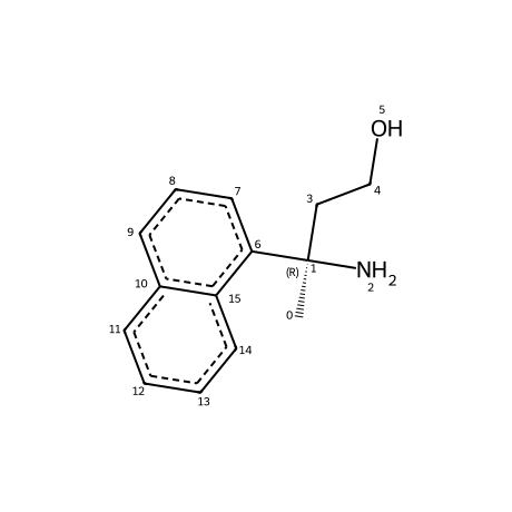 C[C@@](N)(CCO)c1cccc2ccccc12